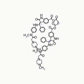 CN1CCN(CC(=O)N(C)c2ccc(N/C(=C3\C(=O)Nc4cc(C(=O)OC(=O)/C=C\C(=O)OC(=O)c5ccc6c(c5)NC(=O)/C6=C(\Nc5ccc(N(C)C(=O)CN6CCN(C)CC6)cc5)c5ccccc5)ccc43)c3ccccc3)cc2)CC1